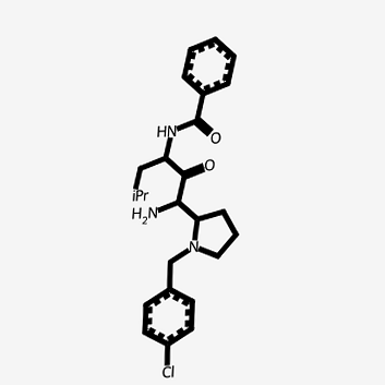 CC(C)CC(NC(=O)c1ccccc1)C(=O)C(N)C1CCCN1Cc1ccc(Cl)cc1